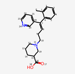 Cc1ccccc1C(=CCCN1CCCC(C(=O)O)C1)c1cccnc1